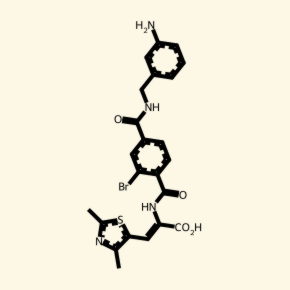 Cc1nc(C)c(/C=C(\NC(=O)c2ccc(C(=O)NCc3cccc(N)c3)cc2Br)C(=O)O)s1